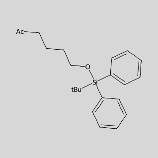 CC(=O)CCCCO[Si](c1ccccc1)(c1ccccc1)C(C)(C)C